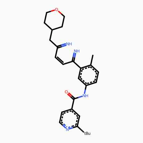 Cc1ccc(NC(=O)c2ccnc(C(C)(C)C)c2)cc1C(=N)/C=C\C(=N)CC1CCOCC1